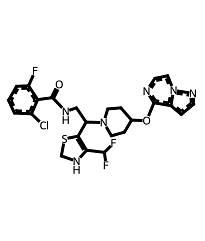 O=C(NCC(C1=C(C(F)F)NCS1)N1CCC(Oc2nccn3nccc23)CC1)c1c(F)cccc1Cl